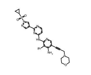 CC(C)c1c(Nc2ccnc(-c3cnn(S(=O)(=O)C4CC4)c3)n2)ncc(C#CCN2CCOCC2)c1N